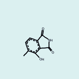 Cc1ccc2c(c1O)C(=O)NC2=O